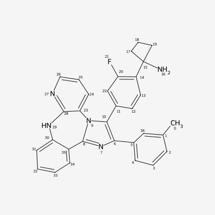 Cc1cccc(-c2nc3n(c2-c2ccc(C4(N)CCC4)c(F)c2)-c2cccnc2Nc2ccccc2-3)c1